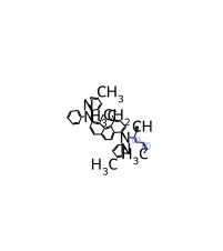 C#C/C(=C\C=C/C)N(c1ccc(C)cn1)c1ccc(C)c2c1ccc1ccc(N(c3ccccc3)c3ccc(C)cn3)c(C=C)c12